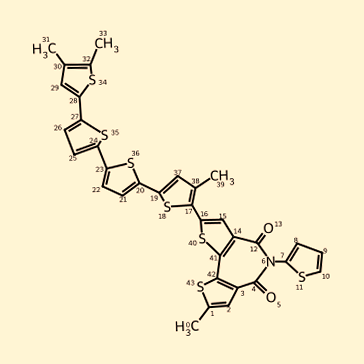 Cc1cc2c(=O)n(-c3cccs3)c(=O)c3cc(-c4sc(-c5ccc(-c6ccc(-c7cc(C)c(C)s7)s6)s5)cc4C)sc3c2s1